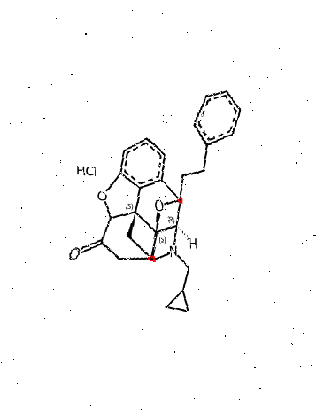 Cl.O=C1CC[C@@]2(OCCCc3ccccc3)[C@H]3Cc4cccc5c4[C@@]2(CCN3CC2CC2)C1O5